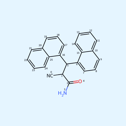 N#CC(C(N)=O)C(c1cccc2ccccc12)c1cccc2ccccc12